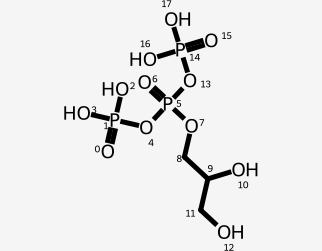 O=P(O)(O)OP(=O)(OCC(O)CO)OP(=O)(O)O